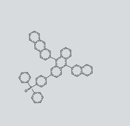 O=P(c1ccccc1)(c1ccccc1)c1ccc(-c2ccc3c(-c4ccc5ccccc5c4)c4ccccc4c(-c4ccc5cc6ccccc6cc5c4)c3c2)cc1